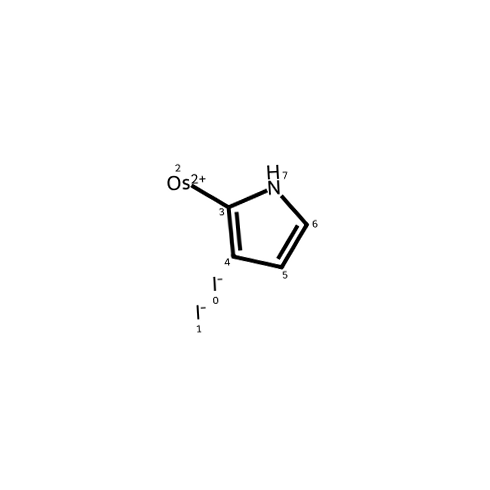 [I-].[I-].[Os+2][c]1ccc[nH]1